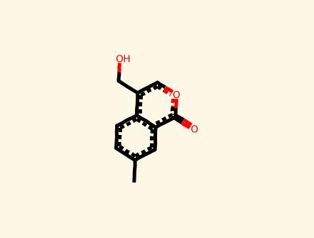 Cc1ccc2c(CO)coc(=O)c2c1